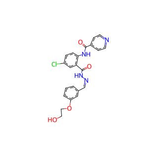 O=C(Nc1ccc(Cl)cc1C(=O)N/N=C\c1cccc(OCCO)c1)c1ccncc1